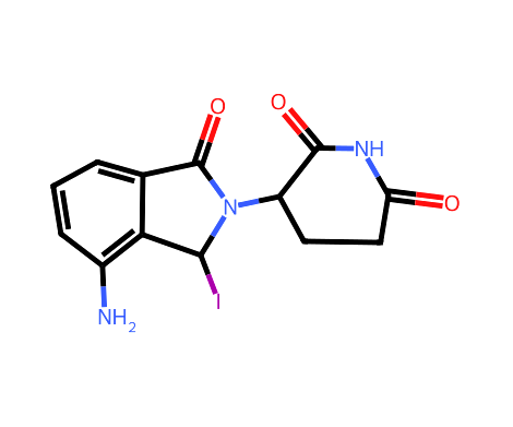 Nc1cccc2c1C(I)N(C1CCC(=O)NC1=O)C2=O